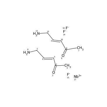 CC(=O)C=CCN.CC(=O)C=CCN.[F-].[F-].[F-].[Nb+3]